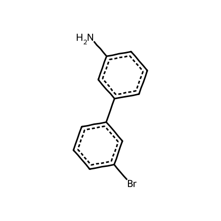 Nc1cccc(-c2cccc(Br)c2)c1